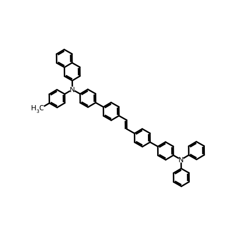 Cc1ccc(N(c2ccc(-c3ccc(/C=C/c4ccc(-c5ccc(N(c6ccccc6)c6ccccc6)cc5)cc4)cc3)cc2)c2ccc3ccccc3c2)cc1